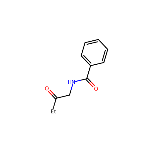 CCC(=O)CNC(=O)c1ccccc1